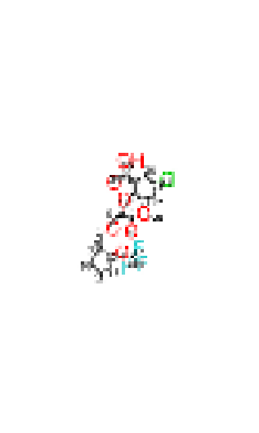 COC(=O)/C(=C\OCc1ccccc1OC(F)(F)F)Oc1ccc(Cl)cc1C(=O)O